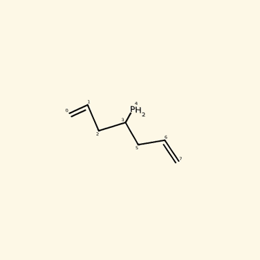 C=CCC(P)CC=C